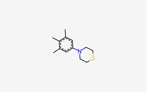 Cc1cc(N2CCSCC2)cc(C)c1C